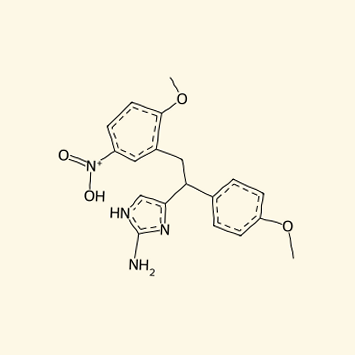 COc1ccc(C(Cc2cc([N+](=O)O)ccc2OC)c2c[nH]c(N)n2)cc1